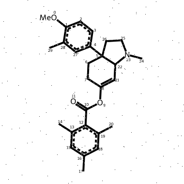 COc1ccc(C23CCC(OC(=O)c4c(C)cc(C)cc4C)=CC2N(C)CC3)cc1C